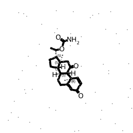 CC(OC(N)=O)[C@H]1CC[C@H]2[C@@H]3CCC4=CC(=O)C=C[C@]4(C)[C@H]3C(=O)C[C@]12C